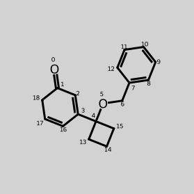 O=C1C=C(C2(OCc3ccccc3)CCC2)C=CC1